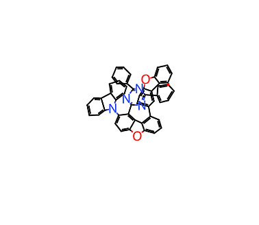 c1ccc(-c2nc(-c3ccccc3)nc(-c3c(-n4c5ccccc5c5ccccc54)ccc4oc5cccc(-c6ccc7oc8ccccc8c7c6)c5c34)n2)cc1